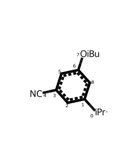 C[C](C)c1cc(C#N)cc(OCC(C)C)c1